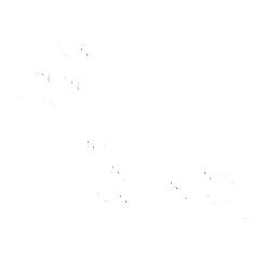 CCNC(=O)c1nc(CCNC(=O)c2cc(C(C)C)nc(CCNC(=O)c3cc(CC)ccn3)n2)cc(C(C)C)n1